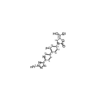 CCCn1nnc(-c2ccc(-c3ccc(N4CC(C(O)CC)OC4=O)cc3F)cn2)n1